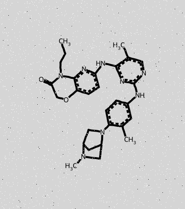 CCCN1C(=O)COc2ccc(Nc3nc(Nc4ccc(N5CC6CC5CN6C)c(C)c4)ncc3C)nc21